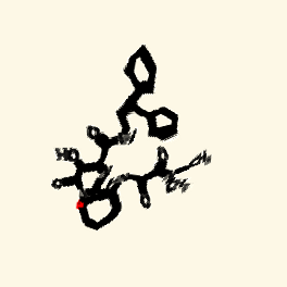 CN(C)C(=O)C(=O)NC12CCC(CC1)Cn1c2nc(C(=O)NCC(c2ccccc2)c2ccccc2)c(O)c1=O